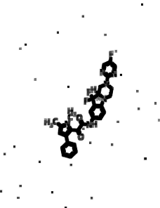 Cc1cc(-c2ccccc2)c(C(=O)C(=O)Nc2ccc3c(c2)C(F)(F)[C@@H]2CN(c4ncc(F)cn4)CCN32)n1C